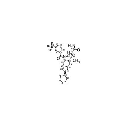 CC(C)(OCC(N)=O)c1cc2nn(C3CCCCC3)cc2cc1NC(=O)c1cccc(C(F)(F)F)n1